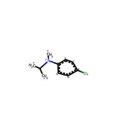 CC(C)N(C)c1ccc(Cl)cc1